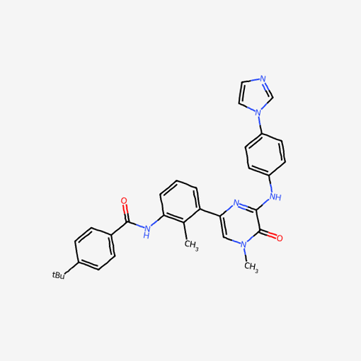 Cc1c(NC(=O)c2ccc(C(C)(C)C)cc2)cccc1-c1cn(C)c(=O)c(Nc2ccc(-n3ccnc3)cc2)n1